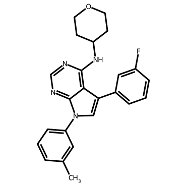 Cc1cccc(-n2cc(-c3cccc(F)c3)c3c(NC4CCOCC4)ncnc32)c1